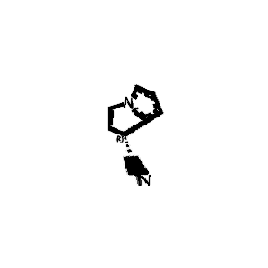 N#C[C@@H]1C=Cn2cccc21